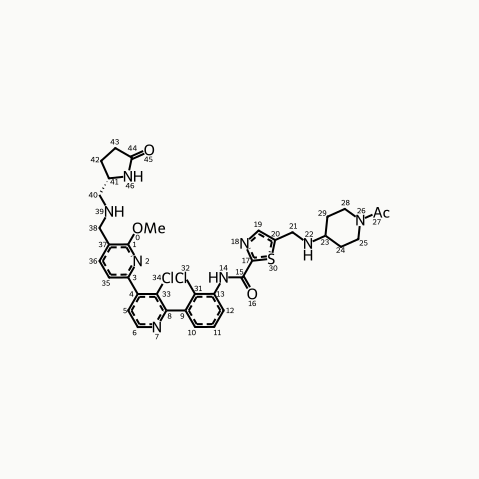 COc1nc(-c2ccnc(-c3cccc(NC(=O)c4ncc(CNC5CCN(C(C)=O)CC5)s4)c3Cl)c2Cl)ccc1CNC[C@@H]1CCC(=O)N1